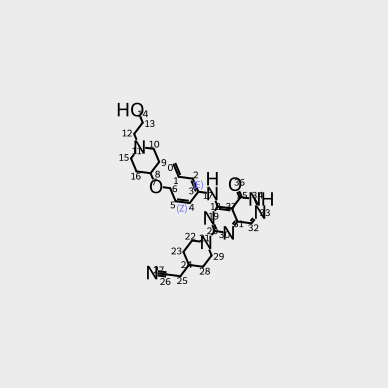 C=C/C=C(\C=C/COC1CCN(CCO)CC1)Nc1nc(N2CCC(CC#N)CC2)nc2cn[nH]c(=O)c12